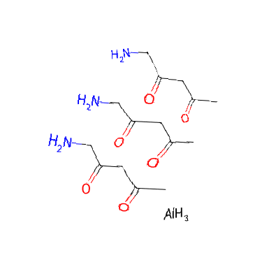 CC(=O)CC(=O)CN.CC(=O)CC(=O)CN.CC(=O)CC(=O)CN.[AlH3]